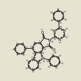 O=C1c2cc(-c3ccccc3)c3c4ccccc4n(-c4ccccc4)c3c2C(=O)N1c1ncnc(-c2ccccc2)n1